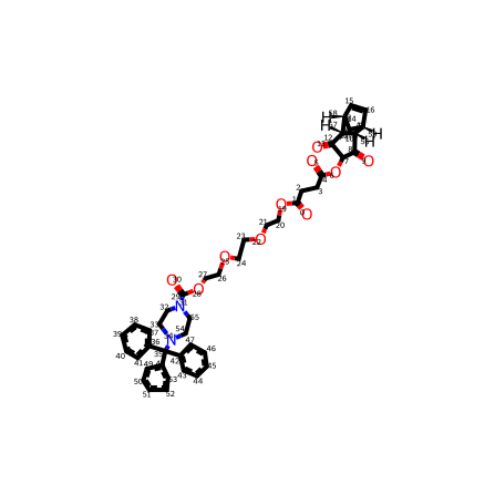 O=C(CCC(=O)OC1C(=O)[C@@H]2[C@H](C1=O)[C@@H]1C=C[C@H]2C1)OCCOCCOCCOC(=O)N1CCN(C(c2ccccc2)(c2ccccc2)c2ccccc2)CC1